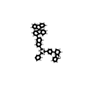 c1ccc(-c2nc(-c3ccc(-c4cccc5oc6ccccc6c45)cc3)nc(-c3ccc4cc(-c5cccc6c5-c5ccccc5C65c6ccccc6-c6ccccc65)ccc4c3)n2)cc1